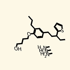 CCCc1cc(CCC(CC)c2cccs2)ccc1OCCCCO.CN.CN.CN